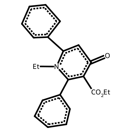 CCOC(=O)c1c(-c2ccccc2)n(CC)c(-c2ccccc2)cc1=O